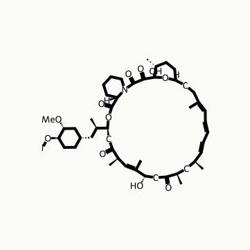 CO[C@@H]1C[C@H](C[C@@H](C)[C@@H]2CC(=O)[C@H](C)/C=C(\C)[C@@H](O)CC(=O)[C@H](C)C[C@H](C)/C=C/C=C/C=C(\C)CC[C@@H]3CC[C@@H](C)[C@@](O)(O3)C(=O)C(=O)N3CCCC[C@H]3C(=O)O2)CC[C@H]1OI